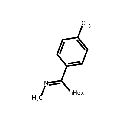 CCCCCC/C(=N\C)c1ccc(C(F)(F)F)cc1